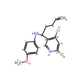 C=CCCC(Nc1ccc(OC)cc1)c1cnc(Cl)cc1Cl